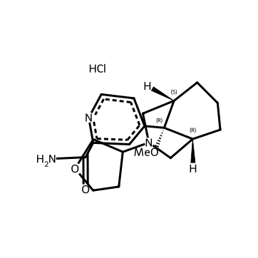 CO[C@@]1(c2ccnc(C(N)=O)c2)[C@@H]2CCC[C@H]1CN(C1CCOC1)C2.Cl